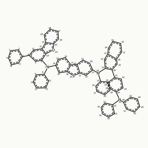 c1ccc(-c2cc(N(c3ccccc3)c3ccc4c(c3)sc3cc(N(c5ccccc5)c5cc6ccccc6cc5-c5ccc(N(c6ccccc6)c6ccccc6)cc5)ccc34)c3oc4ccccc4c3c2)cc1